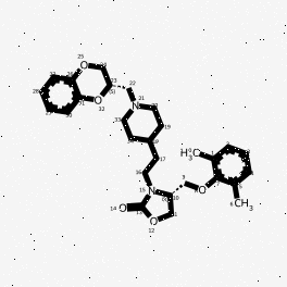 Cc1cccc(C)c1OC[C@@H]1COC(=O)N1CCC1CCN(C[C@H]2COc3ccccc3O2)CC1